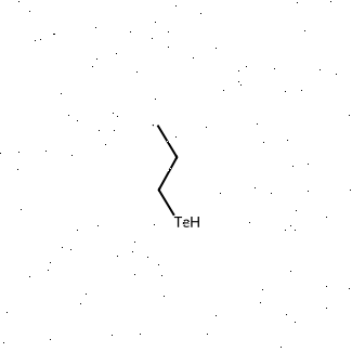 [CH2]CC[TeH]